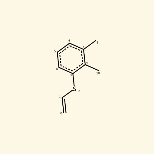 C=CSc1cccc(C)c1C